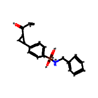 COC(=O)C1CC1c1ccc(S(=O)(=O)NCc2ccccc2)cc1